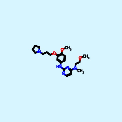 COCCN(C)c1ccnc(Nc2ccc(OC)c(OCCCN3CCCC3)c2)n1